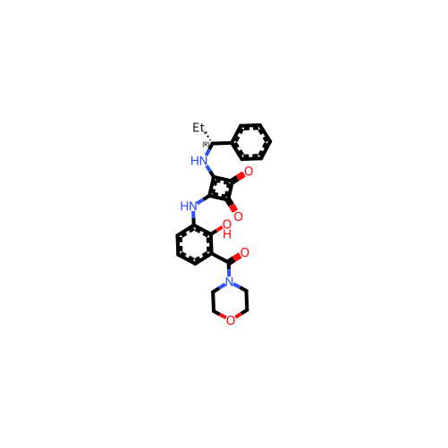 CC[C@@H](Nc1c(Nc2cccc(C(=O)N3CCOCC3)c2O)c(=O)c1=O)c1ccccc1